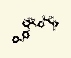 N#CC(=Cc1ncc[nH]1)C(=O)N1CC[C@@H](Nc2n[nH]c3nccc(Oc4ccc(Oc5ccccc5)cc4)c23)C1